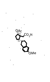 COc1ccc2c(c1)CCC([C@@H]1CC[C@H](OC(C)=O)[C@@]1(C)CC(=O)O)C2